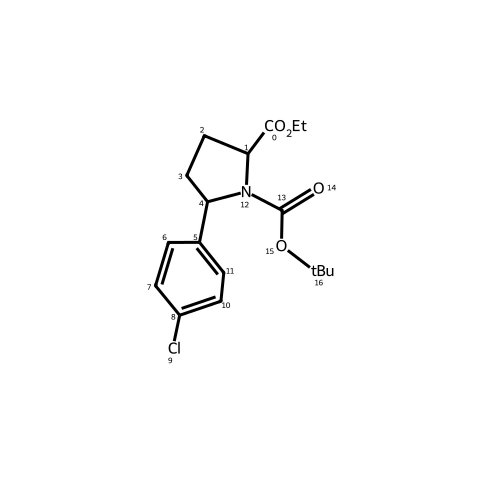 CCOC(=O)C1CCC(c2ccc(Cl)cc2)N1C(=O)OC(C)(C)C